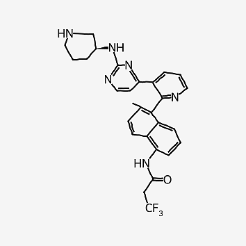 Cc1ccc2c(NC(=O)CC(F)(F)F)cccc2c1-c1ncccc1-c1ccnc(N[C@H]2CCCNC2)n1